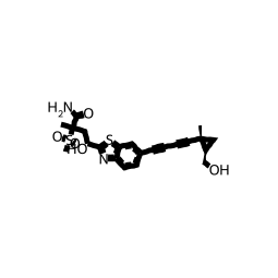 CC(CC(O)c1nc2ccc(C#CC#C[C@]3(C)C[C@H]3CO)cc2s1)(C(N)=O)S(C)(=O)=O